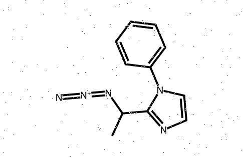 CC(N=[N+]=[N-])c1nccn1-c1ccccc1